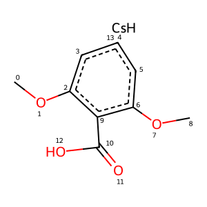 COc1cccc(OC)c1C(=O)O.[CsH]